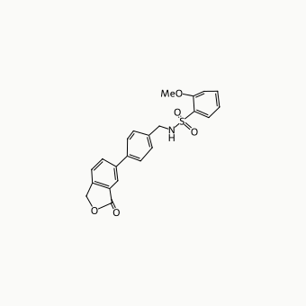 COc1ccccc1S(=O)(=O)NCc1ccc(-c2ccc3c(c2)C(=O)OC3)cc1